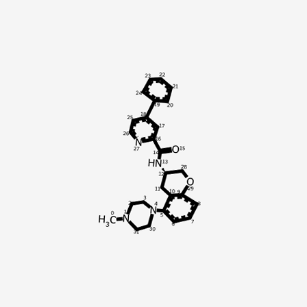 CN1CCN(c2cccc3c2C[C@H](NC(=O)c2cc(-c4ccccc4)ccn2)CO3)CC1